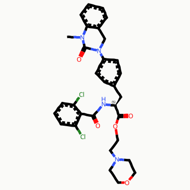 CN1C(=O)N(c2ccc(C[C@H](NC(=O)c3c(Cl)cccc3Cl)C(=O)OCCN3CCOCC3)cc2)Cc2ccccc21